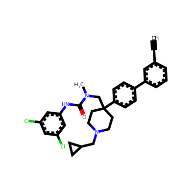 C#Cc1cccc(-c2ccc(C3(CN(C)C(=O)Nc4cc(Cl)cc(Cl)c4)CCN(CC4CC4)CC3)cc2)c1